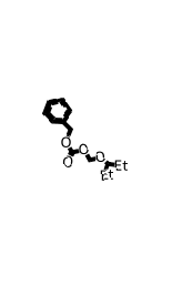 CCC(CC)OCOC(=O)OCc1ccccc1